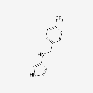 FC(F)(F)c1ccc(CNc2cc[nH]c2)cc1